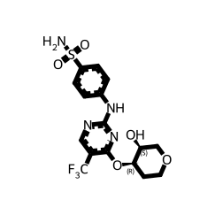 NS(=O)(=O)c1ccc(Nc2ncc(C(F)(F)F)c(O[C@@H]3CCOC[C@@H]3O)n2)cc1